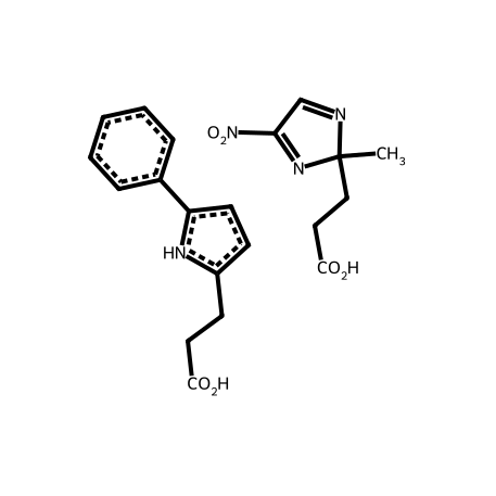 CC1(CCC(=O)O)N=CC([N+](=O)[O-])=N1.O=C(O)CCc1ccc(-c2ccccc2)[nH]1